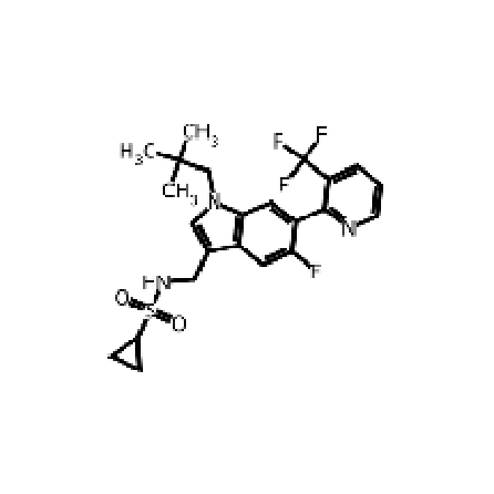 CC(C)(C)Cn1cc(CNS(=O)(=O)C2CC2)c2cc(F)c(-c3ncccc3C(F)(F)F)cc21